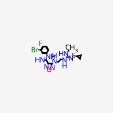 CCN/C(=N\SC1CC1)NCCNc1nonc1C(=N)Nc1ccc(F)c(Br)c1